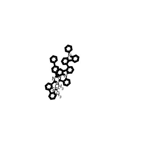 C[Si]1(C)c2ccccc2-c2cccc(-c3nc(-c4ccc(-c5ccccc5)cc4)nc(-c4ccccc4-n4c5ccccc5c5c(-c6cccc7c6c6ccccc6n7-c6ccccc6)cccc54)n3)c21